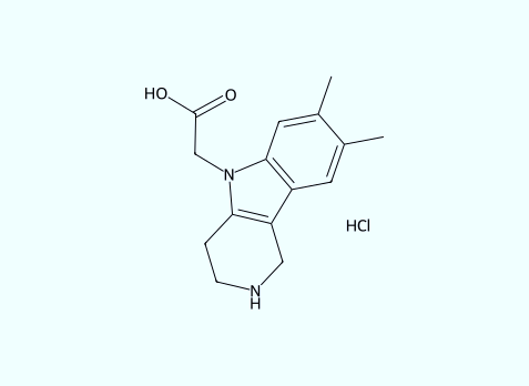 Cc1cc2c3c(n(CC(=O)O)c2cc1C)CCNC3.Cl